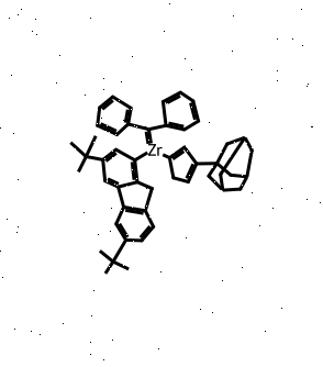 CC(C)(C)c1ccc2c(c1)-c1cc(C(C)(C)C)c[c]([Zr]([C]3=CC(C45CC6CC(CC(C6)C4)C5)=CC3)=[C](c3ccccc3)c3ccccc3)c1C2